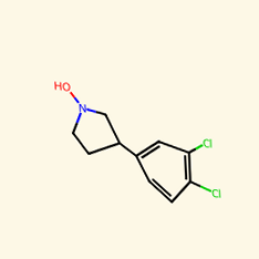 ON1CCC(c2ccc(Cl)c(Cl)c2)C1